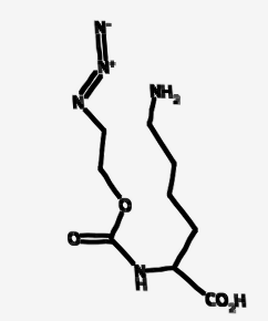 [N-]=[N+]=NCCOC(=O)NC(CCCCN)C(=O)O